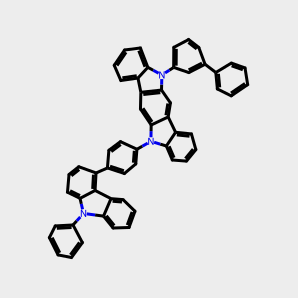 c1ccc(-c2cccc(-n3c4ccccc4c4cc5c(cc43)c3ccccc3n5-c3ccc(-c4cccc5c4c4ccccc4n5-c4ccccc4)cc3)c2)cc1